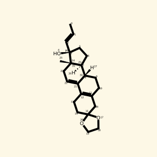 CC=C[C@]1(O)CC[C@H]2[C@@H]3CCC4=C(CCC5(C4)OCCO5)C3=CC[C@@]21C